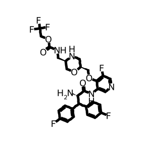 N[C@H](C(=O)Nc1cncc(F)c1OC[C@@H]1CN[C@H](CNC(=O)OCC(F)(F)F)CO1)C(c1ccc(F)cc1)c1ccc(F)cc1